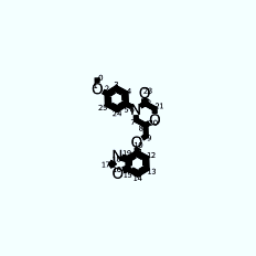 COc1ccc(N2CC(COc3cccc4ocnc34)OCC2=O)cc1